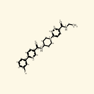 CCNC(=O)c1ccc(N2CCC(NC(=O)c3ccc(-c4cccc(F)c4)nc3)CC2)nn1